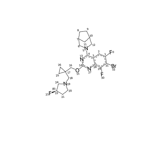 Fc1cc2c(N3CC4CCC(C4)C3)nc(OCC3(CN4CC[C@@H](F)C4)CC3)nc2c(F)c1Br